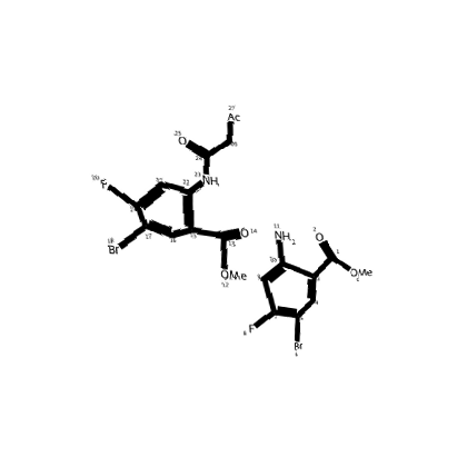 COC(=O)c1cc(Br)c(F)cc1N.COC(=O)c1cc(Br)c(F)cc1NC(=O)CC(C)=O